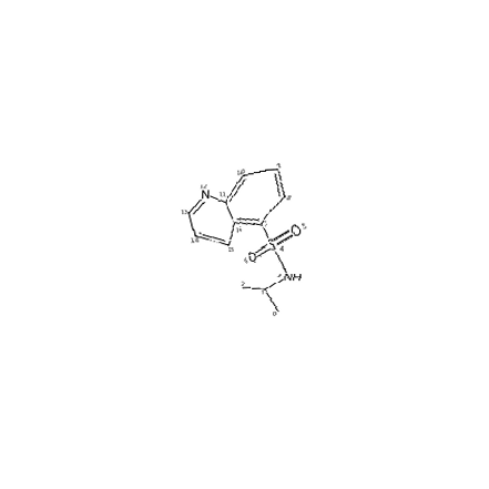 CC(C)NS(=O)(=O)c1cccc2ncccc12